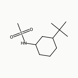 CC(C)(C)C1CCCC(NS(C)(=O)=O)C1